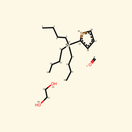 C=O.CCC[CH2][Sn]([CH2]CCC)([CH2]CCC)[c]1cccs1.OCCO